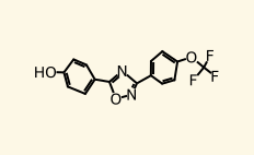 Oc1ccc(-c2nc(-c3ccc(OC(F)(F)F)cc3)no2)cc1